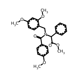 COC(=O)C(c1ccccc1)N(Cc1ccc(OC)cc1OC)C(=O)c1ccc(OC)cc1